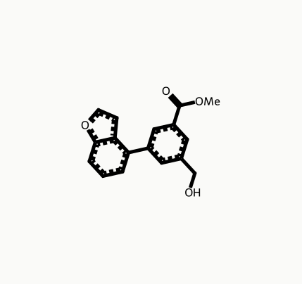 COC(=O)c1cc(CO)cc(-c2cccc3occc23)c1